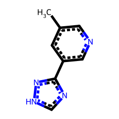 Cc1cncc(-c2nc[nH]n2)c1